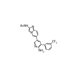 CC(=O)Nc1cn2cc(-c3cnc(N)c(-c4cccc(C(F)(F)F)c4)c3)ccc2n1